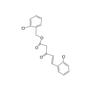 O=C(C=Cc1ccccc1Cl)CC(=O)OCc1ccccc1Cl